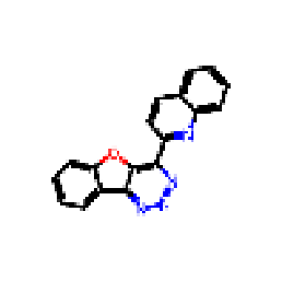 c1ccc2nc(-c3nnnc4c3oc3ccccc34)ccc2c1